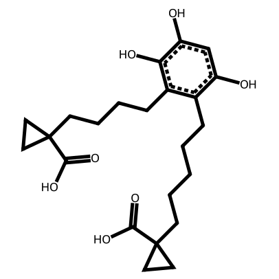 O=C(O)C1(CCCCCc2c(O)cc(O)c(O)c2CCCCC2(C(=O)O)CC2)CC1